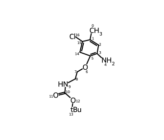 Cc1cc(N)c(OCCNC(=O)OC(C)(C)C)cc1Cl